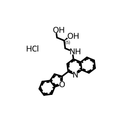 Cl.OC[C@@H](O)CNc1cc(-c2cc3ccccc3o2)nc2ccccc12